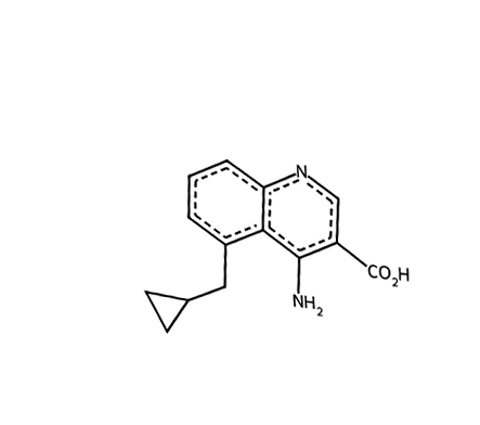 Nc1c(C(=O)O)cnc2cccc(CC3CC3)c12